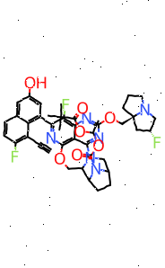 C#Cc1c(F)ccc2cc(O)cc(-c3nc4c5c(nc(OC[C@@]67CCCN6C[C@H](F)C7)nc5c3F)N3CC5CCC(C3CO4)N5C(=O)OC(C)OC(=O)C(C)(C)C)c12